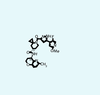 COc1cc(-c2cc(C(=O)N3CC[C@H](C(=O)N[C@@H]4CCOc5ccc(C)nc54)CC34CC4)n[nH]2)c(F)cn1